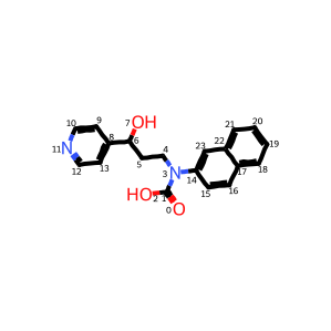 O=C(O)N(CCC(O)c1ccncc1)c1ccc2ccccc2c1